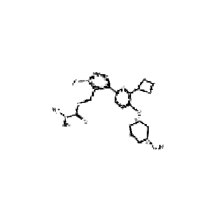 CCCN(C)C(=O)OCc1c(-c2ccc(O[C@H]3CCC[C@H](C(=O)O)C3)c(C3CCC3)n2)nnn1C